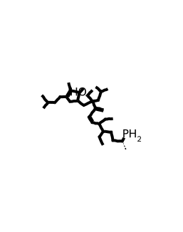 C=C(/C=C\C(CC)C(CC)CC[C@@H](C)P)C(CC(C)C)(CC1CC(CCC(C)C)=C(C)C1C)C(C)O